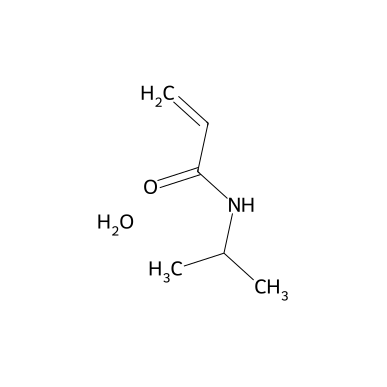 C=CC(=O)NC(C)C.O